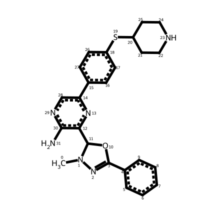 CN1N=C(c2ccccc2)OC1c1nc(-c2ccc(SC3CCNCC3)cc2)cnc1N